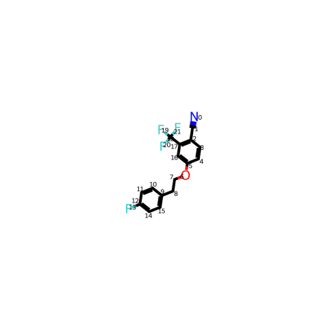 N#Cc1ccc(OCCc2ccc(F)cc2)cc1C(F)(F)F